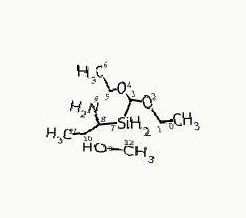 CCOC(OCC)[SiH2]C(N)CC.CO